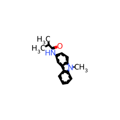 CC(C)C(=O)Nc1ccc2c(c1)c1ccccc1n2C